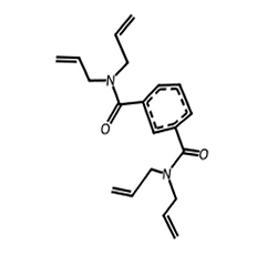 C=CCN(CC=C)C(=O)c1cccc(C(=O)N(CC=C)CC=C)c1